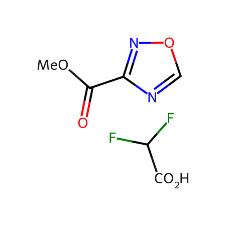 COC(=O)c1ncon1.O=C(O)C(F)F